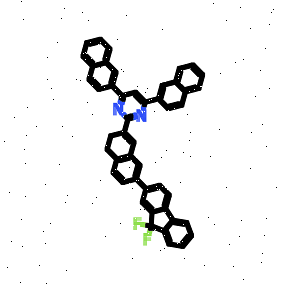 FC1(F)c2ccccc2-c2ccc(-c3ccc4c(c3)C=C(c3nc(-c5ccc6ccccc6c5)cc(-c5ccc6ccccc6c5)n3)CC4)cc21